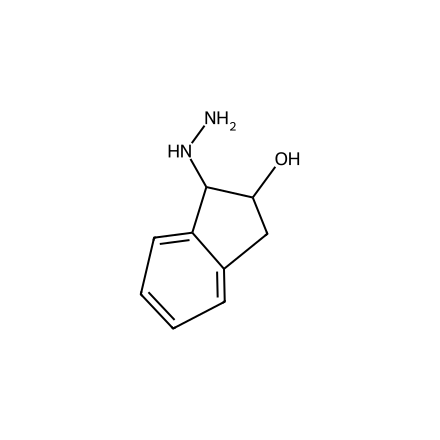 NNC1c2ccccc2CC1O